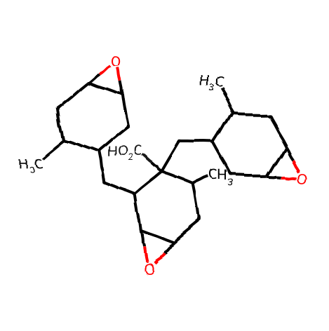 CC1CC2OC2CC1CC1C2OC2CC(C)C1(CC1CC2OC2CC1C)C(=O)O